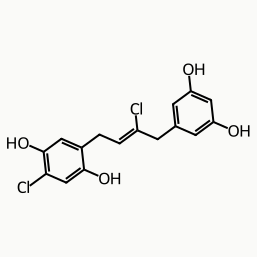 Oc1cc(O)cc(CC(Cl)=CCc2cc(O)c(Cl)cc2O)c1